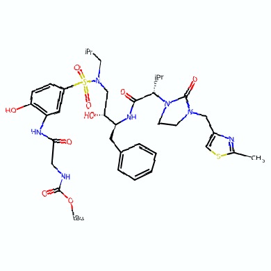 Cc1nc(CN2CCN([C@H](C(=O)N[C@@H](Cc3ccccc3)[C@H](O)CN(CC(C)C)S(=O)(=O)c3ccc(O)c(NC(=O)CNC(=O)OC(C)(C)C)c3)C(C)C)C2=O)cs1